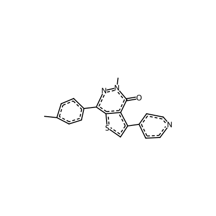 Cc1ccc(-c2nn(C)c(=O)c3c(-c4ccncc4)csc23)cc1